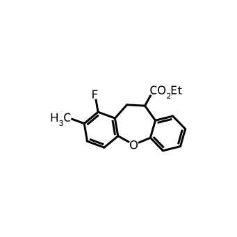 CCOC(=O)C1Cc2c(ccc(C)c2F)Oc2ccccc21